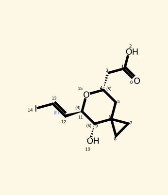 O=C(O)C[C@@H]1CC2(CC2)[C@H](O)[C@@H](/C=C/I)O1